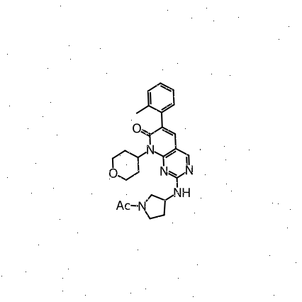 CC(=O)N1CCC(Nc2ncc3cc(-c4ccccc4C)c(=O)n(C4CCOCC4)c3n2)C1